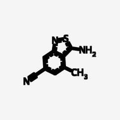 Cc1cc(C#N)cc2nsc(N)c12